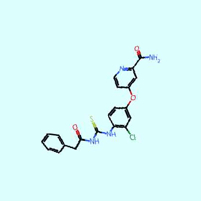 NC(=O)c1cc(Oc2ccc(NC(=S)NC(=O)Cc3ccccc3)c(Cl)c2)ccn1